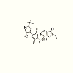 CCN1Cc2c(ccnc2NC(C)c2cc(F)c(-c3cc(C(C)(C)C)ncc3OC)cc2F)C1=O